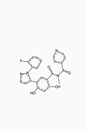 CN(C(=O)c1ccncc1)C(=O)c1cc(-c2ccnn2-c2ccccc2F)c(O)cc1O